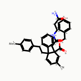 COc1ccc(CCC2(c3ccccc3)C=CC(C#N)=CC2(CC(=O)NCCC(N)=O)C(=O)OCc2ccccc2)cc1